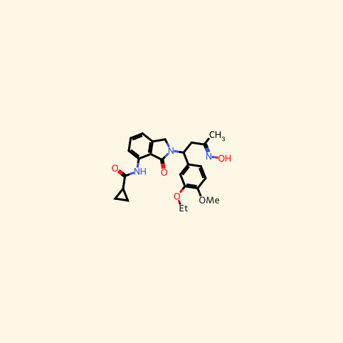 CCOc1cc(C(CC(C)=NO)N2Cc3cccc(NC(=O)C4CC4)c3C2=O)ccc1OC